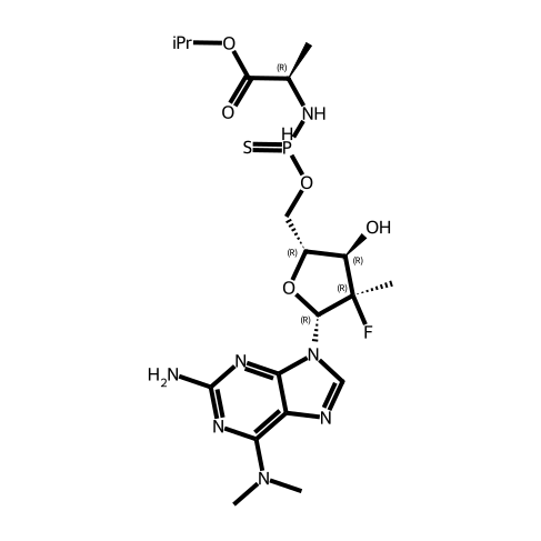 CC(C)OC(=O)[C@@H](C)N[PH](=S)OC[C@H]1O[C@@H](n2cnc3c(N(C)C)nc(N)nc32)[C@](C)(F)[C@@H]1O